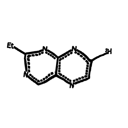 [2H]c1cnc2cnc(CC)nc2n1